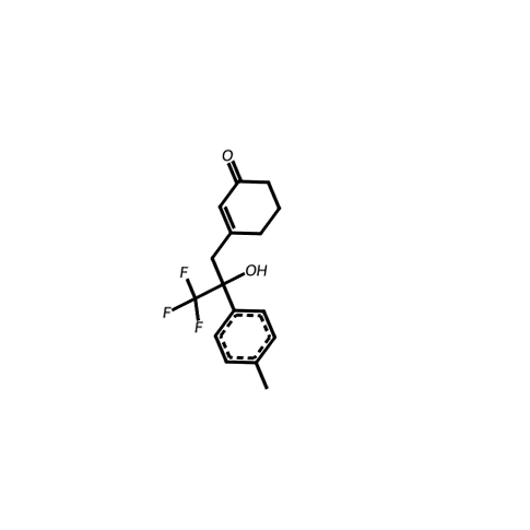 Cc1ccc(C(O)(CC2=CC(=O)CCC2)C(F)(F)F)cc1